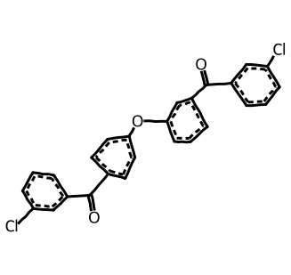 O=C(c1ccc(Oc2cccc(C(=O)c3cccc(Cl)c3)c2)cc1)c1cccc(Cl)c1